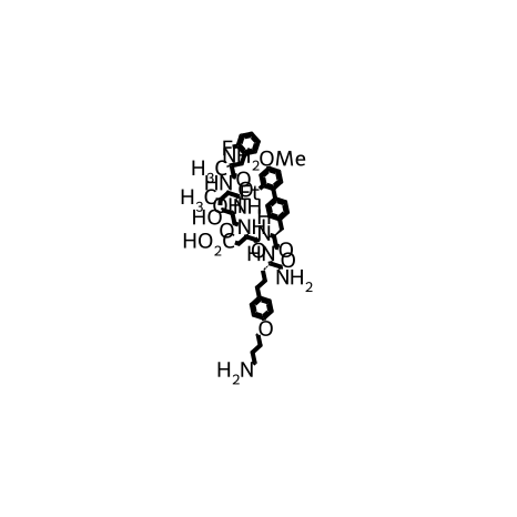 CCc1cc(OC)ccc1-c1ccc(C[C@H](NC(=O)C(CC(=O)O)NC(=O)C(CO)NC(=O)[C@@H](NC(=O)[C@@](C)(N)Cc2ccccc2F)[C@@H](C)O)C(=O)N[C@@H](CCCc2ccc(OCCCCN)cc2)C(N)=O)cc1